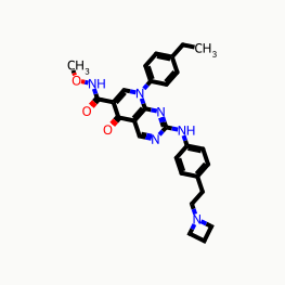 CCc1ccc(-n2cc(C(=O)NOC)c(=O)c3cnc(Nc4ccc(CCN5CCC5)cc4)nc32)cc1